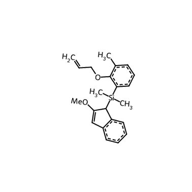 C=CCOc1c(C)cccc1[Si](C)(C)C1C(OC)=Cc2ccccc21